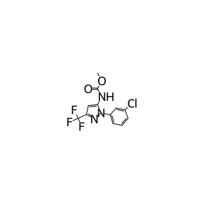 COC(=O)Nc1cc(C(F)(F)F)nn1-c1cccc(Cl)c1